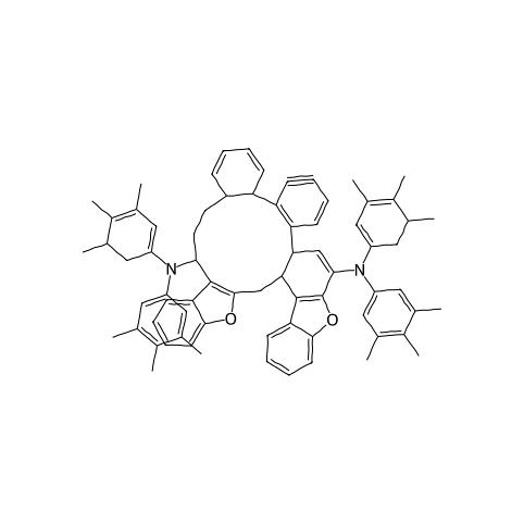 CC1=C(C)C(C)CC(N(C2=CC3c4ccc#cc4C4C=CC=CC4CCC(N(C4=CC(C)=C(C)C(C)C4)c4cc(C)c(C)c(C)c4)c4c(oc5ccccc45)CC3c3c2oc2ccccc32)c2cc(C)c(C)c(C)c2)=C1